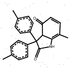 CC1=C2NC(=O)C(c3ccc(C)cc3)(c3ccc(C)cc3)C2C(=O)C=C1